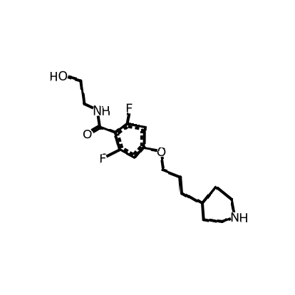 O=C(NCCO)c1c(F)cc(OCCCC2CCNCC2)cc1F